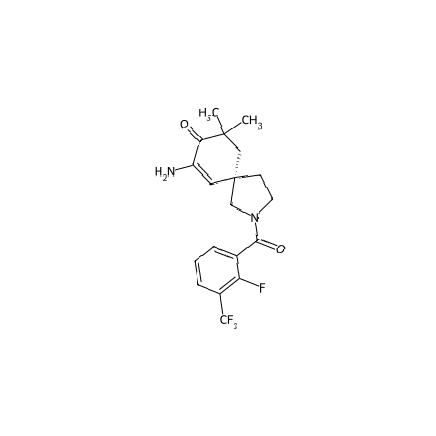 CC1(C)C[C@]2(C=C(N)C1=O)CCN(C(=O)c1cccc(C(F)(F)F)c1F)C2